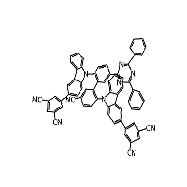 N#Cc1cc(C#N)cc(-c2ccc3c(c2)c2ccccc2n3-c2ccc(C#N)cc2-c2cc(-c3nc(-c4ccccc4)nc(-c4ccccc4)n3)ccc2-n2c3ccccc3c3cc(-c4cc(C#N)cc(C#N)c4)ccc32)c1